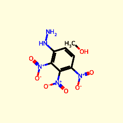 CO.NNc1ccc([N+](=O)[O-])c([N+](=O)[O-])c1[N+](=O)[O-]